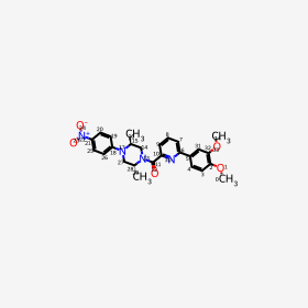 COc1ccc(-c2cccc(C(=O)N3C[C@H](C)N(c4ccc([N+](=O)[O-])cc4)C[C@H]3C)n2)cc1OC